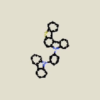 c1cc(-n2c3ccccc3c3ccccc32)cc(-n2c3ccccc3c3c4c(ccc32)sc2ccccc24)c1